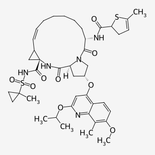 COc1ccc2c(O[C@@H]3C[C@H]4C(=O)N[C@]5(C(=O)NS(=O)(=O)C6(C)CC6)CC5/C=C\CCCCC[C@H](NC(=O)C5CC=C(C)S5)C(=O)N4C3)cc(OC(C)C)nc2c1C